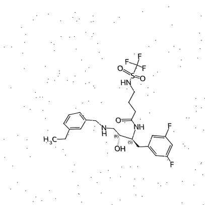 CCc1cccc(CNC[C@@H](O)[C@H](Cc2cc(F)cc(F)c2)NC(=O)CCCNS(=O)(=O)C(F)(F)F)c1